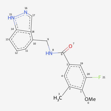 COc1c(C)cc(C(=O)NCc2cccc3[nH]ncc23)cc1F